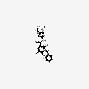 CCc1c(C)cc(C(=O)Nc2nc(CC(=O)O)cs2)c(=O)n1Cc1ccccc1